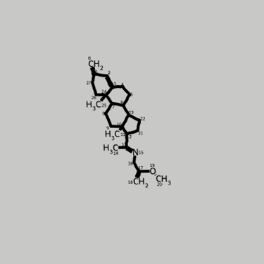 C=C1C=C2CCC3C(CCC4(C)C(/C(C)=N/CC(=C)OC)CCC34)C2(C)CC1